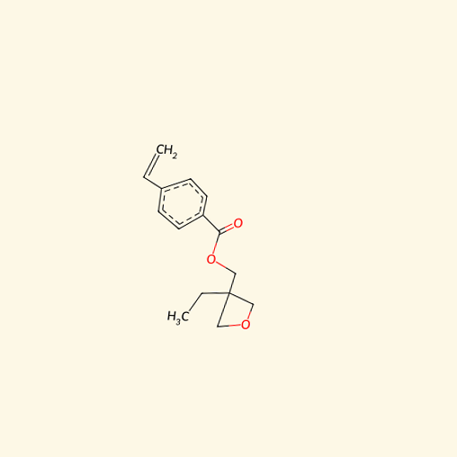 C=Cc1ccc(C(=O)OCC2(CC)COC2)cc1